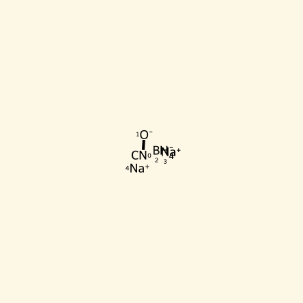 N#C[O-].[BH4-].[Na+].[Na+]